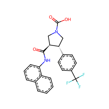 O=C(Nc1cccc2ccccc12)[C@H]1CN(C(=O)O)C[C@@H]1c1ccc(C(F)(F)F)cc1